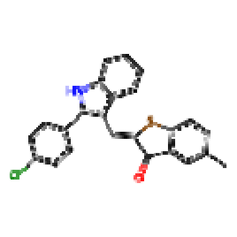 Cc1ccc2c(c1)C(=O)/C(=C/c1c(-c3ccc(Cl)cc3)[nH]c3ccccc13)S2